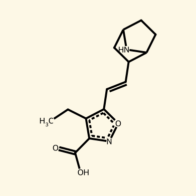 CCc1c(C(=O)O)noc1C=CC1CC2CCC1N2